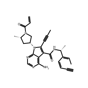 C#C/C=C\C(=C/C)[C@@H](C)NC(=O)c1c(C#CC)n([C@@H]2C[C@H](C)N(C(=O)C=C)C2)c2ncnc(N)c12